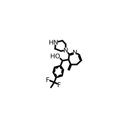 C=C1CC=CN=C(N2CCNCC2)C1C(O)c1ccc(C(C)(F)F)cc1